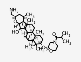 CC(C)C(=O)N1CCO[C@@H](O[C@H]2CC[C@@]3(C)[C@@H](CC[C@H]4[C@]5(C)[C@@H](O)[C@H]6O[C@@H](CN)C[C@@H](C)C6[C@@]5(C)CC[C@]43C)C2(C)C)C1